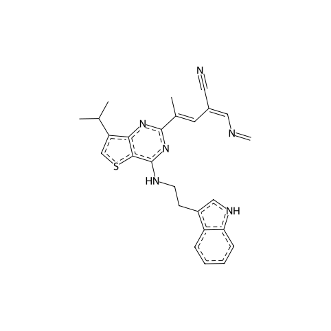 C=N/C=C(C#N)\C=C(/C)c1nc(NCCc2c[nH]c3ccccc23)c2scc(C(C)C)c2n1